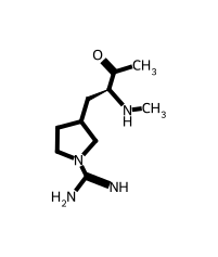 CN[C@@H](CC1CCN(C(=N)N)C1)C(C)=O